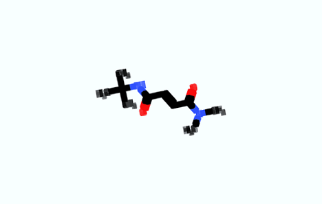 CN(C)C(=O)/C=C/C(=O)NC(C)(C)C